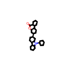 O=c1oc2cc(-c3ccc4c5ccccc5n(-c5ccccc5)c4c3)ccc2c2ccccc12